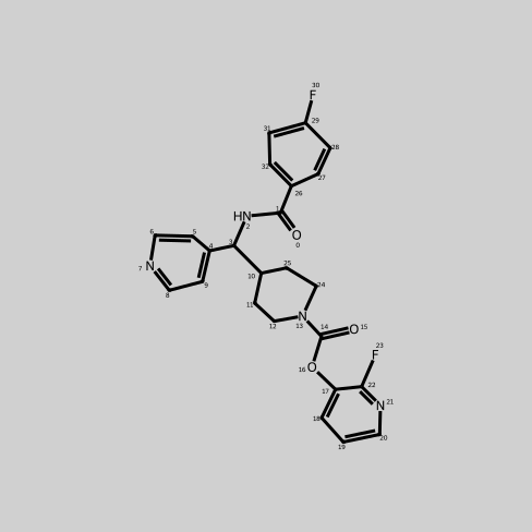 O=C(NC(c1ccncc1)C1CCN(C(=O)Oc2cccnc2F)CC1)c1ccc(F)cc1